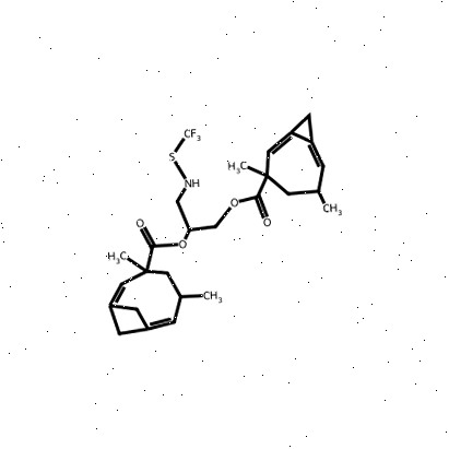 CC1C=C2CC2=CC(C)(C(=O)OCC(CNSC(F)(F)F)OC(=O)C2(C)C=C3CC(=CC(C)C2)C3)C1